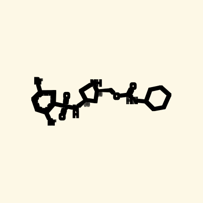 O=C(NC1CCCCC1)OC[C@H]1C[C@@H](NS(=O)(=O)c2cc(Br)ccc2Br)CN1